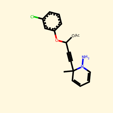 CC(=O)OC(C#CC1(C)C=CC=CN1N)Oc1cccc(Cl)c1